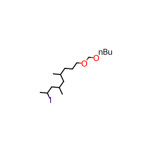 CCCCOCOCCCC(C)CC(C)CC(C)I